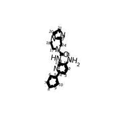 Nc1ccc(-c2ccccc2)nc1NC(=O)N1CCn2ccnc2C1